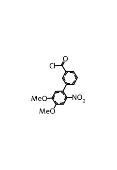 COc1cc(-c2cccc(C(=O)Cl)c2)c([N+](=O)[O-])cc1OC